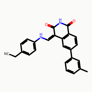 Cc1cccc(-c2ccc3c(c2)C(=CNc2ccc(CC#N)cc2)C(=O)NC3=O)c1